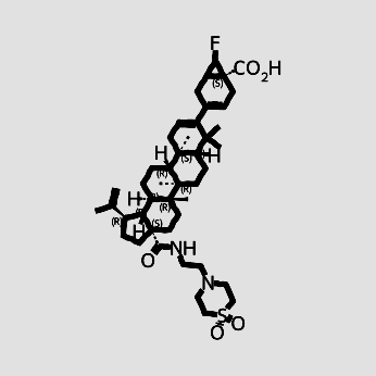 C=C(C)[C@@H]1CC[C@]2(C(=O)NCCN3CCS(=O)(=O)CC3)CC[C@]3(C)[C@H](CC[C@@H]4[C@@]5(C)CC=C(C6=CC[C@]7(C(=O)O)C(F)C7C6)C(C)(C)[C@@H]5CC[C@]43C)[C@@H]12